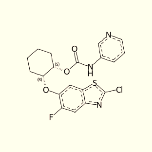 O=C(Nc1cccnc1)O[C@H]1CCCC[C@H]1Oc1cc2sc(Cl)nc2cc1F